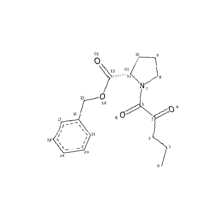 CCCC(=O)C(=O)N1CCC[C@H]1C(=O)OCc1ccccc1